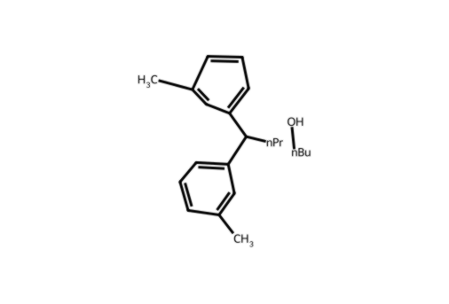 CCCC(c1cccc(C)c1)c1cccc(C)c1.CCCCO